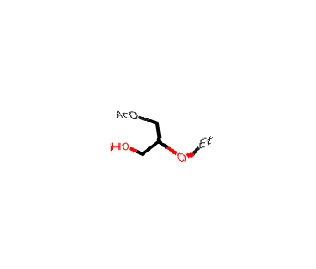 CCOC(CO)COC(C)=O